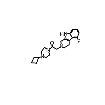 O=C(CN1CCc2c([nH]c3cccc(F)c23)C1)N1CCN(C2CCC2)CC1